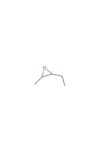 [CH2]C[C]1OC1C